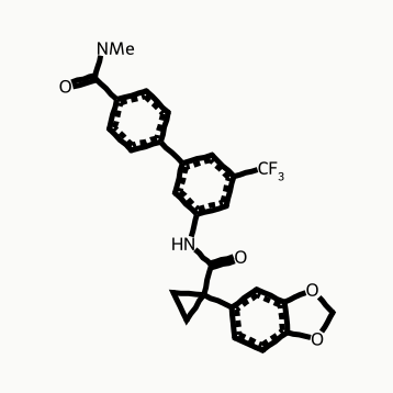 CNC(=O)c1ccc(-c2cc(NC(=O)C3(c4ccc5c(c4)OCO5)CC3)cc(C(F)(F)F)c2)cc1